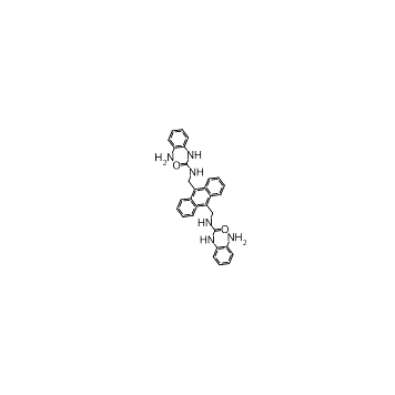 Nc1ccccc1NC(=O)NCc1c2ccccc2c(CNC(=O)Nc2ccccc2N)c2ccccc12